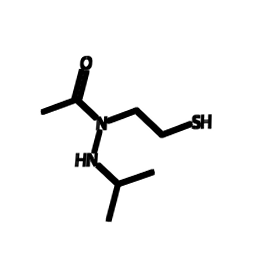 CC(=O)N(CCS)NC(C)C